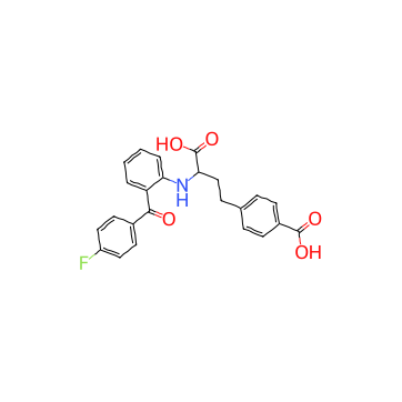 O=C(O)c1ccc(CCC(Nc2ccccc2C(=O)c2ccc(F)cc2)C(=O)O)cc1